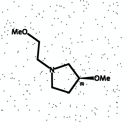 COCCN1CC[C@H](OC)C1